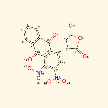 O=C1CCC(=O)O1.O=C1c2ccccc2C(=O)c2c1ccc([N+](=O)[O-])c2[N+](=O)[O-]